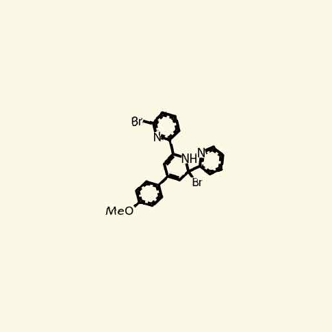 COc1ccc(C2=CC(Br)(c3ccccn3)NC(c3cccc(Br)n3)=C2)cc1